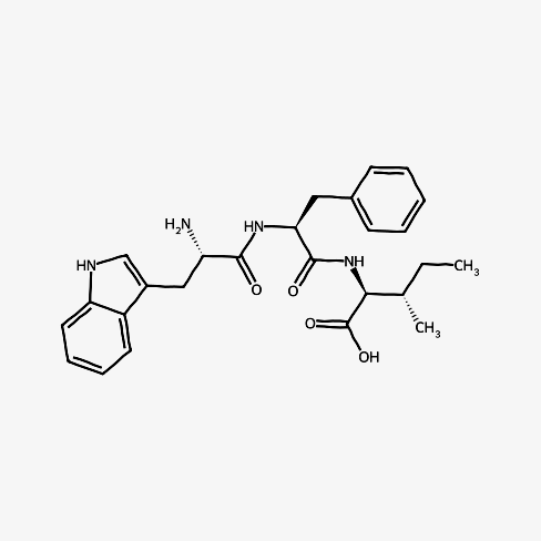 CC[C@H](C)[C@H](NC(=O)[C@H](Cc1ccccc1)NC(=O)[C@@H](N)Cc1c[nH]c2ccccc12)C(=O)O